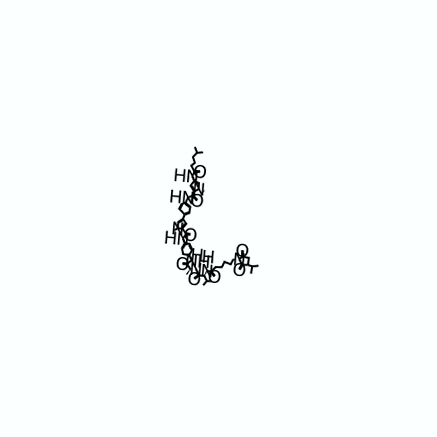 CC(C)CCCC(=O)Nc1cc(C(=O)Nc2ccc(-c3cc(C(=O)NC4=CCC(NC(=O)[C@H](C)NC(=O)[C@@H](NC(=O)CCCCCN5C(=O)CC(C(C)C)C5=O)C(C)C)C=C4)n(C)c3)cc2)n(C)c1